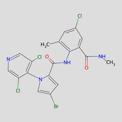 CNC(=O)c1cc(Cl)cc(C)c1NC(=O)c1cc(Br)cn1-c1c(Cl)cncc1Cl